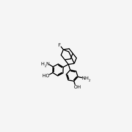 Nc1cc(C2(c3ccc(O)c(N)c3)C3CC4CC2CC(F)(C4)C3)ccc1O